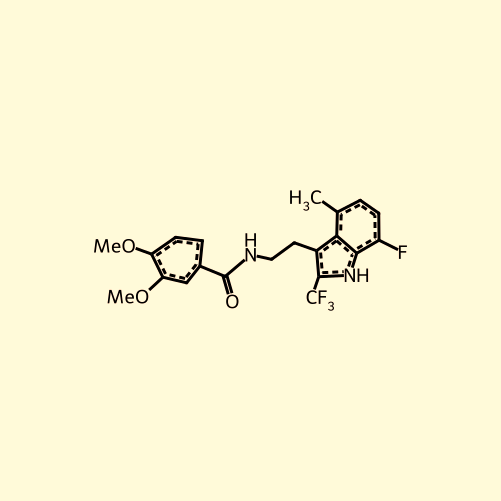 COc1ccc(C(=O)NCCc2c(C(F)(F)F)[nH]c3c(F)ccc(C)c23)cc1OC